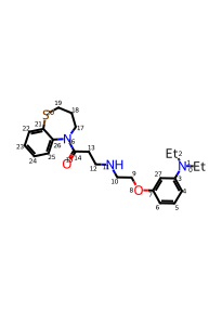 CCN(CC)c1cccc(OCCNCCC(=O)N2CCCSc3ccccc32)c1